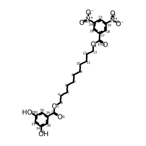 O=C(OCCCCCCCCCCCOC(=O)c1cc([N+](=O)[O-])cc([N+](=O)[O-])c1)c1cc(O)cc(O)c1